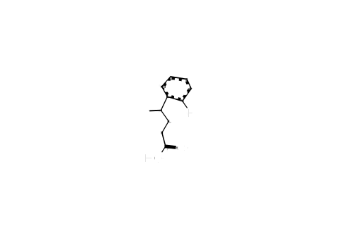 CC(CCC(=O)O)c1ccccc1F